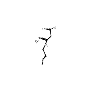 CCCCOC(=O)CC(=O)[O-].[Cs+]